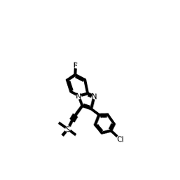 CS(C)(C)C#Cc1c(-c2ccc(Cl)cc2)nc2cc(F)ccn12